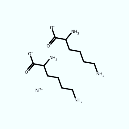 NCCCCC(N)C(=O)[O-].NCCCCC(N)C(=O)[O-].[Ni+2]